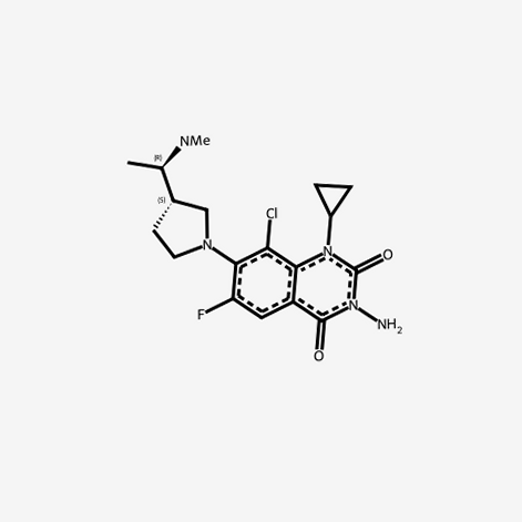 CN[C@H](C)[C@H]1CCN(c2c(F)cc3c(=O)n(N)c(=O)n(C4CC4)c3c2Cl)C1